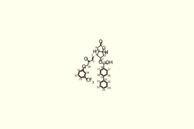 O=C(/C=C/[C@@H]1[C@H]2CC(=O)O[C@H]2C[C@H]1OC(O)c1ccc(-c2ccccc2)cc1)COc1cccc(C(F)(F)F)c1